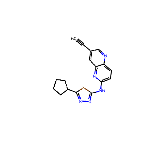 C#Cc1cnc2ccc(Nc3nnc(C4CCCC4)s3)nc2c1